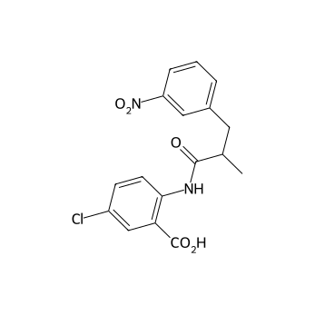 CC(Cc1cccc([N+](=O)[O-])c1)C(=O)Nc1ccc(Cl)cc1C(=O)O